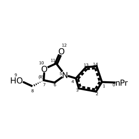 CCCc1ccc(N2C[C@H](CO)OC2=O)cc1